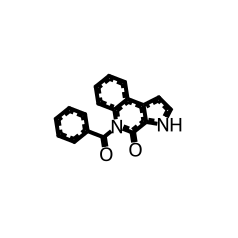 O=C(c1ccccc1)n1c(=O)c2[nH]ccc2c2ccccc21